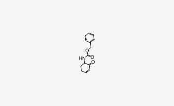 O=C(NC1CCC=CC1=O)OCc1ccccc1